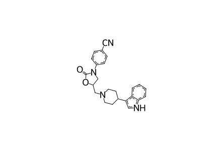 N#Cc1ccc(N2CC(CN3CCC(c4c[nH]c5ccccc45)CC3)OC2=O)cc1